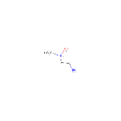 NCCN(O)C(=O)O